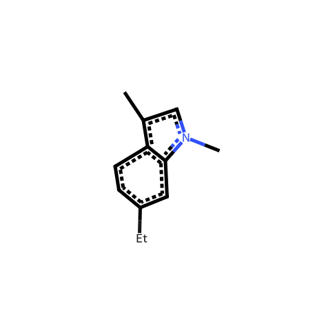 [CH2]Cc1ccc2c(C)cn(C)c2c1